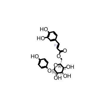 O=C(/C=C/c1ccc(O)c(O)c1)OC[C@H]1O[C@@H](Oc2ccc(O)cc2)[C@H](O)[C@@H](O)[C@@H]1O